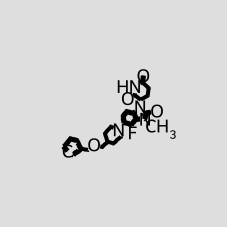 Cn1c(=O)n(C2CCC(=O)NC2=O)c2ccc(N3CCC(COCc4ccccc4)CC3)c(F)c21